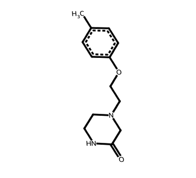 Cc1ccc(OCCN2CCNC(=O)C2)cc1